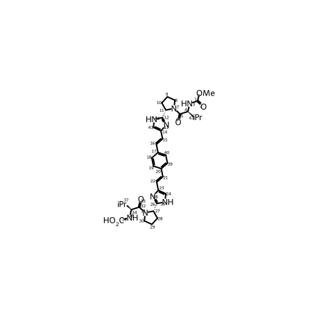 COC(=O)N[C@H](C(=O)N1CCC[C@H]1c1nc(C=Cc2ccc(C=Cc3c[nH]c([C@@H]4CCCN4C(=O)[C@@H](NC(=O)O)C(C)C)n3)cc2)c[nH]1)C(C)C